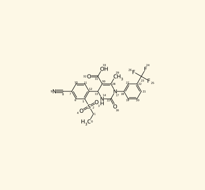 CCS(=O)(=O)c1cc(C#N)ccc1C1NC(=O)N(c2cccc(C(F)(F)F)c2)C(C)=C1C(=O)O